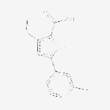 COc1nc(-c2ccnc(C)c2)sc1C(N)=O